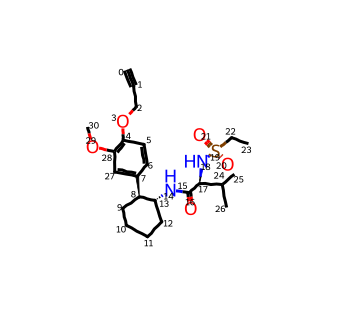 C#CCOc1ccc([C@@H]2CCCC[C@H]2NC(=O)[C@@H](NS(=O)(=O)CC)C(C)C)cc1OC